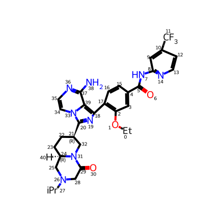 CCOc1cc(C(=O)Nc2cc(C(F)(F)F)ccn2)ccc1-c1nc([C@@H]2CC[C@@H]3CN(C(C)C)CC(=O)N3C2)n2ccnc(N)c12